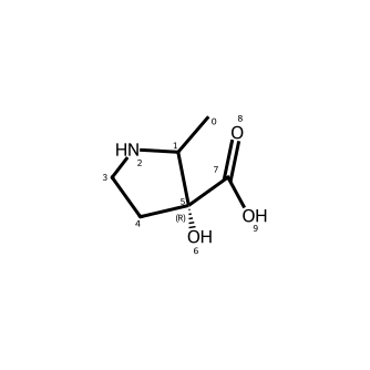 CC1NCC[C@]1(O)C(=O)O